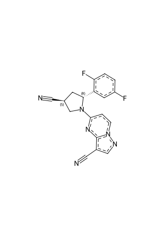 N#Cc1cnn2ccc(N3C[C@@H](C#N)C[C@@H]3c3cc(F)ccc3F)nc12